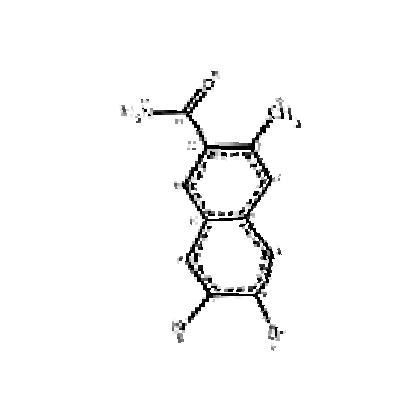 Cc1cc2cc(Br)c(Br)cc2cc1C(N)=O